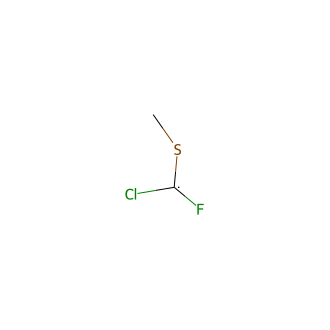 CS[C](F)Cl